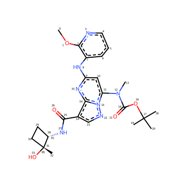 COc1ncccc1Nc1cc(N(C)C(=O)OC(C)(C)C)n2ncc(C(=O)N[C@H]3CC[C@@]3(C)O)c2n1